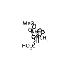 COc1cccc(C(=O)NCc2ccc(CCCC(=O)O)c(NC(=O)C(C)c3cccc4ccccc34)c2)c1